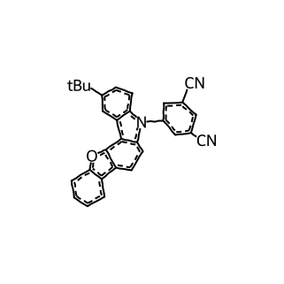 CC(C)(C)c1ccc2c(c1)c1c3oc4ccccc4c3ccc1n2-c1cc(C#N)cc(C#N)c1